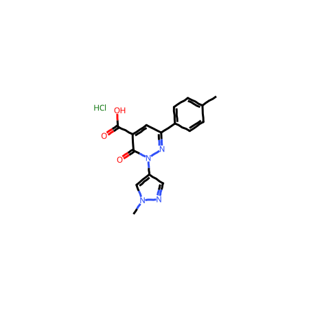 Cc1ccc(-c2cc(C(=O)O)c(=O)n(-c3cnn(C)c3)n2)cc1.Cl